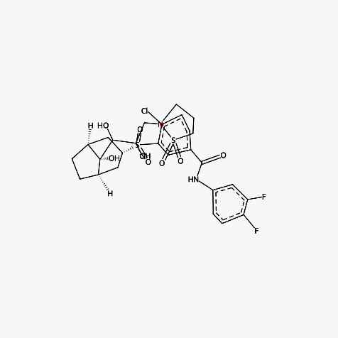 O=C(Nc1ccc(F)c(F)c1)c1ccc(Cl)c(S(=O)(=O)[C@@H]2C[C@H]3CC[C@@H](C2)[C@@]3(O)C(O)C(O)CN2CCCS2(=O)=O)c1